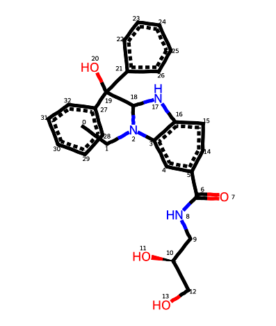 CCN1c2cc(C(=O)NC[C@H](O)CO)ccc2NC1C(O)(c1ccccc1)c1ccccc1